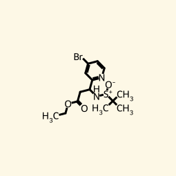 CCOC(=O)CC(N[S+]([O-])C(C)(C)C)c1cc(Br)ccn1